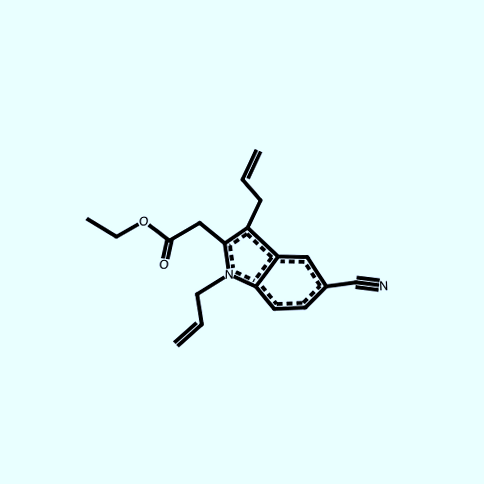 C=CCc1c(CC(=O)OCC)n(CC=C)c2ccc(C#N)cc12